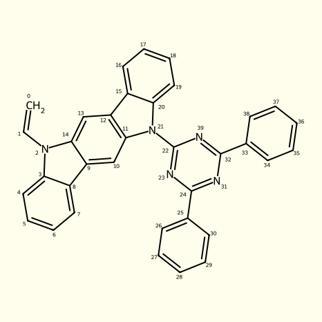 C=Cn1c2ccccc2c2cc3c(cc21)c1ccccc1n3-c1nc(-c2ccccc2)nc(-c2ccccc2)n1